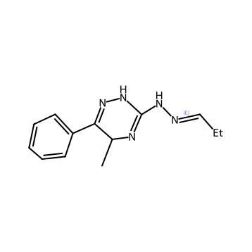 CC/C=N/NC1=NC(C)C(c2ccccc2)=NN1